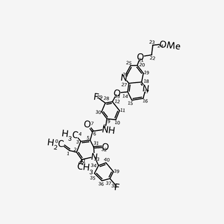 C=Cc1c(C)c(C(=O)Nc2ccc(Oc3ccnc4cc(OCCOC)cnc34)c(F)c2)c(=O)n(-c2ccc(F)cc2)c1C